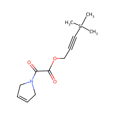 C[Si](C)(C)C#CCOC(=O)C(=O)N1CC=CC1